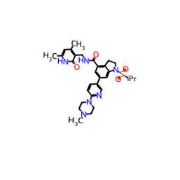 Cc1cc(C)c(CNC(=O)c2cc(-c3ccc(N4CCN(C)CC4)nc3)cc3c2CCN3S(=O)(=O)C(C)C)c(=O)[nH]1